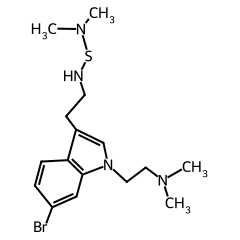 CN(C)CCn1cc(CCNSN(C)C)c2ccc(Br)cc21